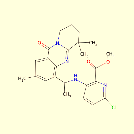 COC(=O)c1nc(Cl)ccc1NC(C)c1cc(C)cc2c(=O)n3c(nc12)C(C)(C)CCC3